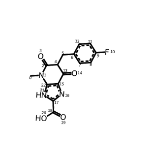 CN1C(=O)C(Cc2ccc(F)cc2)C(=O)c2nc(C(=O)O)[nH]c21